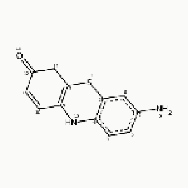 Nc1ccc2c(c1)SC1=C(C=CC(=O)C1)N2